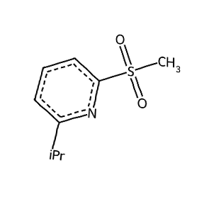 CC(C)c1cccc(S(C)(=O)=O)n1